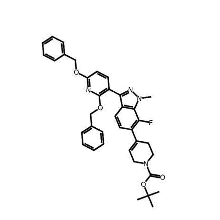 Cn1nc(-c2ccc(OCc3ccccc3)nc2OCc2ccccc2)c2ccc(C3=CCN(C(=O)OC(C)(C)C)CC3)c(F)c21